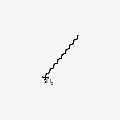 CCCCCCCCCCCCCCCCCC(C)(C)[SiH3]